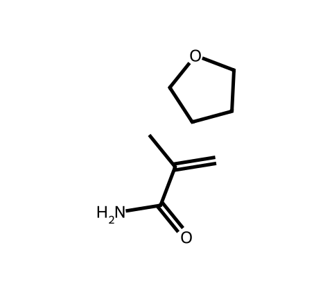 C1CCOC1.C=C(C)C(N)=O